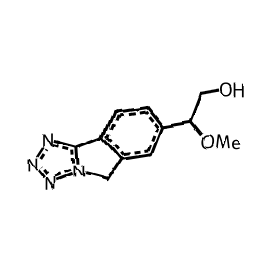 COC(CO)c1ccc2c(c1)Cn1nnnc1-2